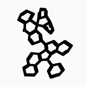 c1ccc(-n2c3c4ccccc4ccc3c3c(-c4ccc5c(c4)C4(c6ccccc6O5)c5ccccc5-c5ccccc54)cc4ccccc4c32)cc1